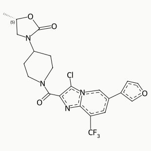 C[C@H]1CN(C2CCN(C(=O)c3nc4c(C(F)(F)F)cc(-c5ccoc5)cn4c3Cl)CC2)C(=O)O1